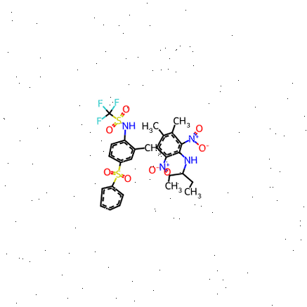 CCC(CC)Nc1c([N+](=O)[O-])cc(C)c(C)c1[N+](=O)[O-].Cc1cc(S(=O)(=O)c2ccccc2)ccc1NS(=O)(=O)C(F)(F)F